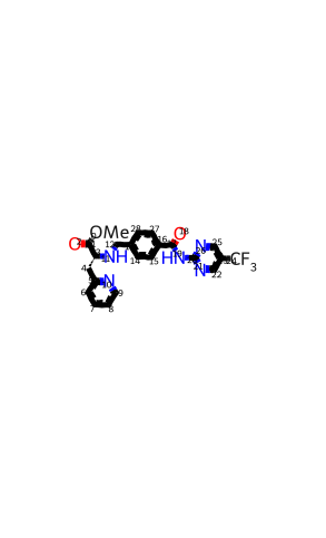 COC(=O)[C@@H](Cc1ccccn1)NCc1ccc(C(=O)Nc2ncc(C(F)(F)F)cn2)cc1